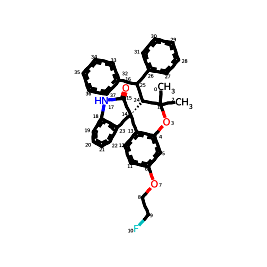 CC1(C)Oc2cc(OCCF)ccc2[C@@]2(C(=O)Nc3ccccc32)C1C(c1ccccc1)c1ccccc1